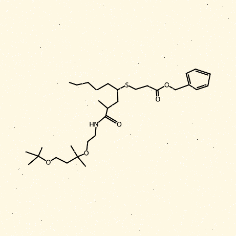 CCCCCC(CC(C)C(=O)NCCOC(C)(C)CCOC(C)(C)C)SCCC(=O)OCc1ccccc1